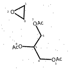 C1CO1.CC(=O)OCC(COC(C)=O)OC(C)=O